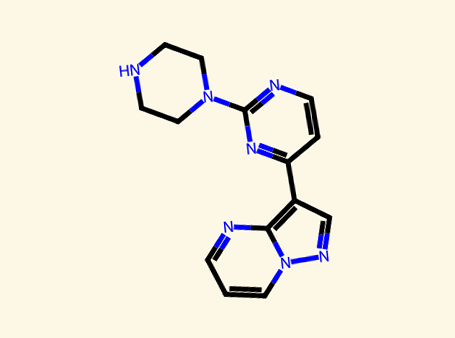 c1cnc2c(-c3ccnc(N4CCNCC4)n3)cnn2c1